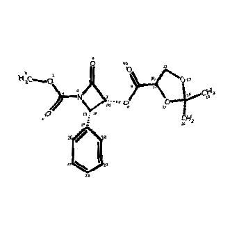 COC(=O)N1C(=O)[C@H](OC(=O)[C@H]2COC(C)(C)O2)[C@@H]1c1ccccc1